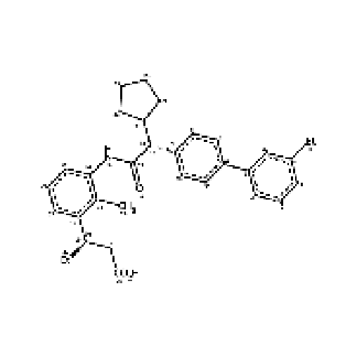 CCc1cncc(-c2ccc([C@H](C(=O)Nc3cccc([C@H](CC)CC(=O)O)c3C)C3CCCC3)cc2)c1